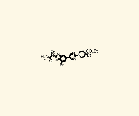 CCOC(=O)C1(CC)CCN(c2ncc(-c3cc(Br)c4sc(N(CC)C(N)=O)nc4c3)cn2)CC1